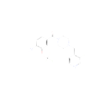 Nc1ccc(C(=O)N2CCN(Cc3ccncc3F)CC2)cc1OC(F)(F)F